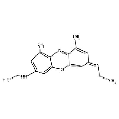 CCN=c1cc2oc3cc(NCC)cc(C)c3nc-2c(C)c1